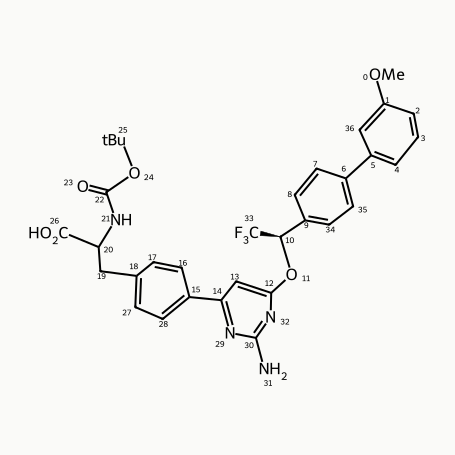 COc1cccc(-c2ccc([C@@H](Oc3cc(-c4ccc(CC(NC(=O)OC(C)(C)C)C(=O)O)cc4)nc(N)n3)C(F)(F)F)cc2)c1